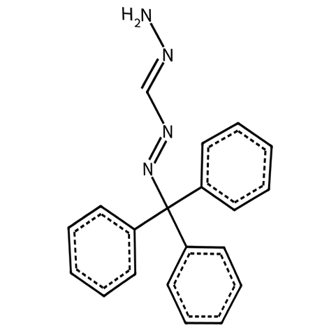 NN=CN=NC(c1ccccc1)(c1ccccc1)c1ccccc1